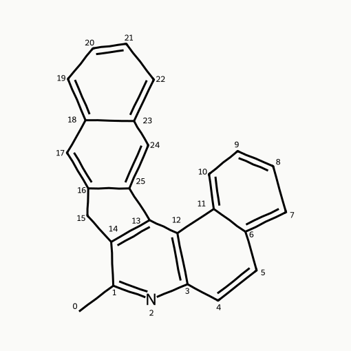 Cc1nc2ccc3ccccc3c2c2c1Cc1cc3ccccc3cc1-2